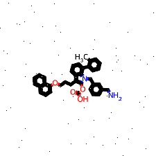 Cc1ccccc1-c1cccc2c(CCCOc3cccc4ccccc34)c(OC(=O)O)n(Cc3cccc(CN)c3)c12